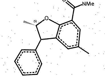 CNC(=O)c1cc(C)cc2c1O[C@@H](C)C2c1ccccc1